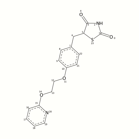 O=C1NC(=O)C(Cc2ccc(OCCOc3ccccn3)cc2)S1